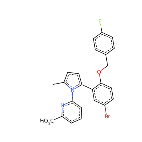 Cc1ccc(-c2cc(Br)ccc2OCc2ccc(F)cc2)n1-c1cccc(C(=O)O)n1